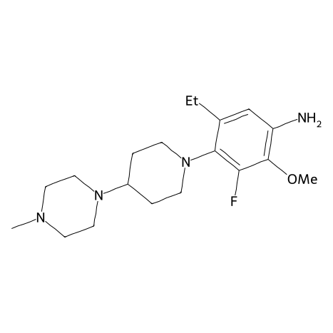 CCc1cc(N)c(OC)c(F)c1N1CCC(N2CCN(C)CC2)CC1